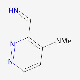 CNc1ccnnc1C=N